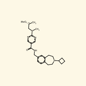 CO[C@H](C)CN(C)c1ncc(C(=O)NCc2ccc3c(c2)CCN(C2CCC2)CC3)cn1